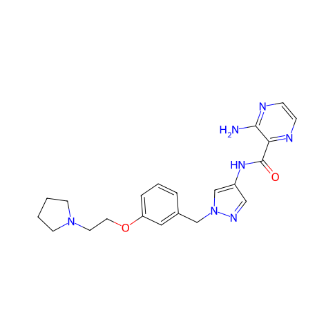 Nc1nccnc1C(=O)Nc1cnn(Cc2cccc(OCCN3CCCC3)c2)c1